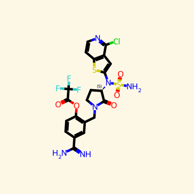 N=C(N)c1ccc(OC(=O)C(F)(F)F)c(CN2CC[C@H](N(c3cc4c(Cl)nccc4s3)S(N)(=O)=O)C2=O)c1